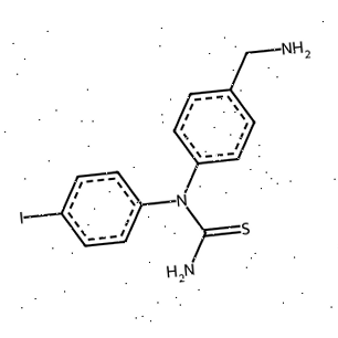 NCc1ccc(N(C(N)=S)c2ccc(I)cc2)cc1